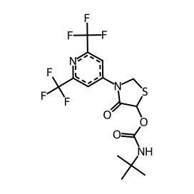 CC(C)(C)NC(=O)OC1SCN(c2cc(C(F)(F)F)nc(C(F)(F)F)c2)C1=O